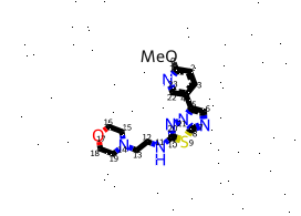 COc1ccc(-c2cnc3sc(NCCN4CCOCC4)nn23)cn1